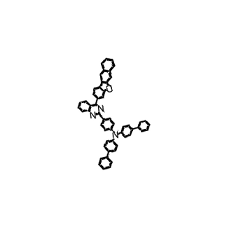 c1ccc(-c2ccc(N(c3ccc(-c4ccccc4)cc3)c3ccc(-c4nc(-c5ccc6c(c5)oc5cc7ccccc7cc56)c5ccccc5n4)cc3)cc2)cc1